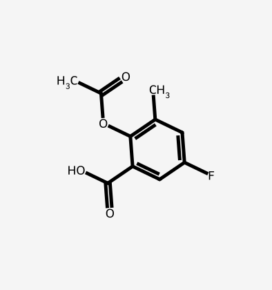 CC(=O)Oc1c(C)cc(F)cc1C(=O)O